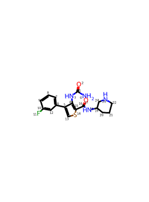 NC(=O)Nc1c(-c2cccc(F)c2)csc1C(=O)NC1CCCNC1